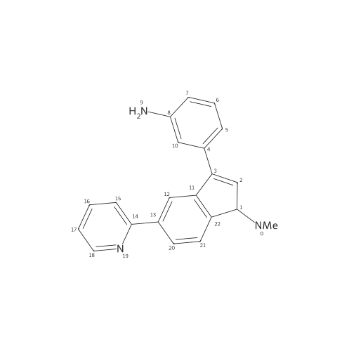 CNC1C=C(c2cccc(N)c2)c2cc(-c3ccccn3)ccc21